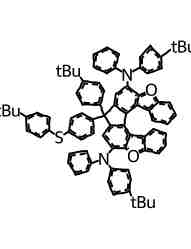 CC(C)(C)c1ccc(Sc2ccc(C3(c4ccc(C(C)(C)C)cc4)c4cc(N(c5ccccc5)c5ccc(C(C)(C)C)cc5)c5oc6ccccc6c5c4-c4c3cc(N(c3ccccc3)c3ccc(C(C)(C)C)cc3)c3oc5ccccc5c43)cc2)cc1